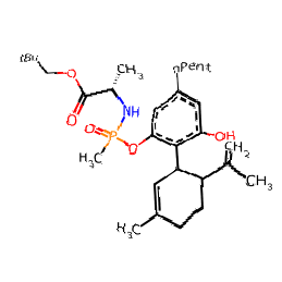 C=C(C)C1CCC(C)=CC1c1c(O)cc(CCCCC)cc1OP(C)(=O)N[C@@H](C)C(=O)OCC(C)(C)C